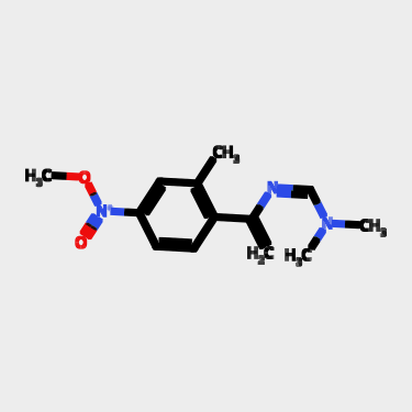 C=C(/N=C\N(C)C)c1ccc([N+](=O)OC)cc1C